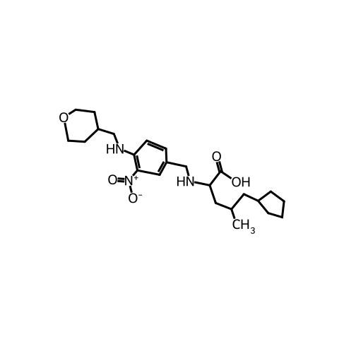 CC(CC1CCCC1)CC(NCc1ccc(NCC2CCOCC2)c([N+](=O)[O-])c1)C(=O)O